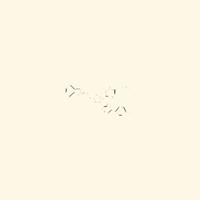 COC(=O)N[C@H](C(=O)N1C[C@H](OC(=O)N2Cc3cccc(I)c3C2)C[C@H]1c1nc(-c2ccc(Br)cc2)c[nH]1)C(C)C